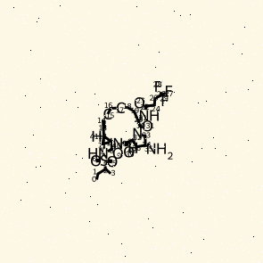 CCC(C)S(=O)(=O)NC(=O)[C@@]12C[C@H]1/C=C\CCCCC[C@H](NC(=O)CCC(F)(F)F)C(=O)N1C[C@H](N)C[C@H]1C(=O)N2